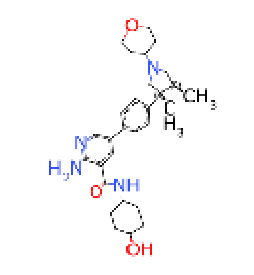 C[C@@H]1CN(C2CCOCC2)C[C@@]1(C)c1ccc(-c2cnc(N)c(C(=O)N[C@H]3CC[C@H](O)CC3)c2)cc1